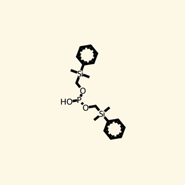 C[Si](C)(COP(O)OC[Si](C)(C)c1ccccc1)c1ccccc1